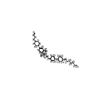 C=CCC[C@H]1CC[C@H](c2ccc(C(F)(F)OCCc3ccc([C@H]4CC[C@H](CCCCCCC)CC4)cc3)c(F)c2)CC1